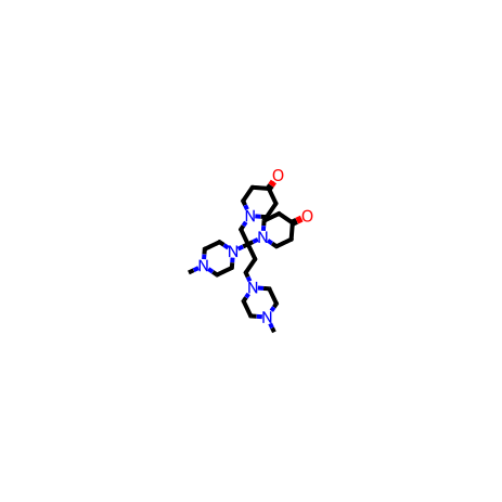 CN1CCN(CCC(CN2CCC(=O)CC2)(N2CCC(=O)CC2)N2CCN(C)CC2)CC1